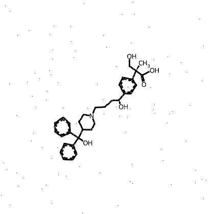 C[C@@](CO)(C(=O)O)c1ccc([C@@H](O)CCCN2CCC(C(O)(c3ccccc3)c3ccccc3)CC2)cc1